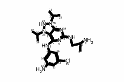 CC(N)CNc1nc(Nc2cc(N)cc(Cl)c2)c2c(n1)N(C(C)C)NN2C(C)C